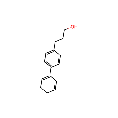 OCCCc1ccc(C2=CCCC=C2)cc1